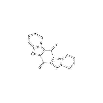 O=C1c2oc3ccccc3c2C(=O)c2c1oc1ccccc21